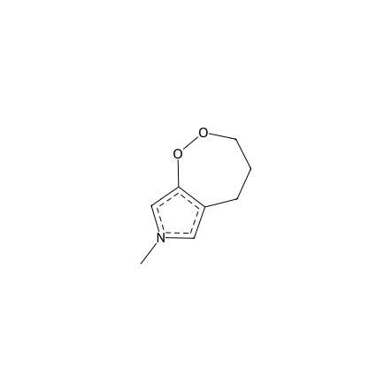 Cn1cc2c(c1)OOCCC2